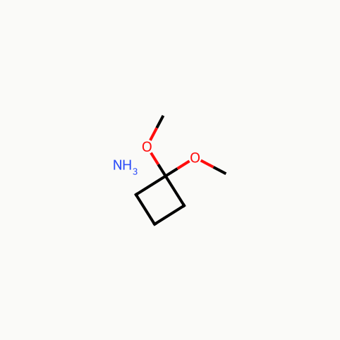 COC1(OC)CCC1.N